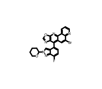 Fc1ccc(-c2c3cc(Br)c4ncccc4c3nc3ocnc23)c2cn(C3CCCCO3)nc12